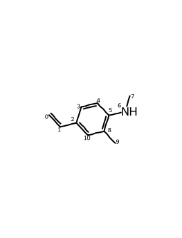 C=Cc1ccc(NC)c(C)c1